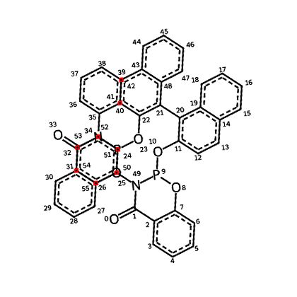 O=C1c2ccccc2OP(Oc2ccc3ccccc3c2-c2c(OP3Oc4ccccc4C(=O)N3c3ccccc3)ccc3ccccc23)N1c1ccccc1